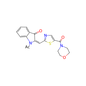 CC(=O)N1/C(=C/c2ncc(C(=O)N3CCOCC3)s2)C(=O)c2ccccc21